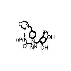 CCCNC(=O)c1nnc(-c2cc(C(C)C)c(O)cc2O)n1-c1ccc(CN2CCOCC2)cc1